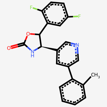 Cc1ccccc1-c1cncc([C@H]2NC(=O)OC2c2cc(F)ccc2F)c1